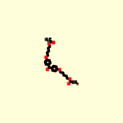 CC(=O)OCCCCCOc1ccc(C(=O)c2ccc(OCCCCCOC(C)=O)cc2)cc1